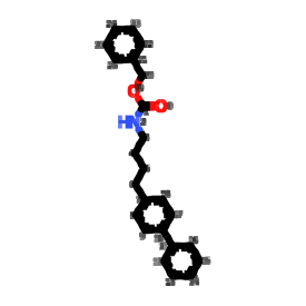 O=C(NCCCCc1ccc(-c2cc[c]cc2)cc1)OCc1ccccc1